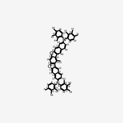 Cc1ccc(N(c2ccc3cc4c(cc3c2)oc2cc3oc5cc6cc(N(c7ccc(C)c(C)c7C)c7ccc(C)c(C)c7C)ccc6cc5c3c(C)c24)c2ccc(C)c(C)c2C)c(C)c1C